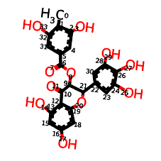 Cc1c(O)cc(C(=O)OC2C(=O)c3c(O)cc(O)cc3OC2c2cc(O)c(O)c(O)c2)cc1O